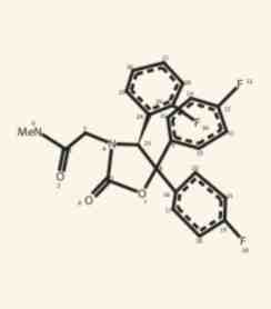 CNC(=O)CN1C(=O)OC(c2ccc(F)cc2)(c2ccc(F)cc2)[C@@H]1c1ccccc1F